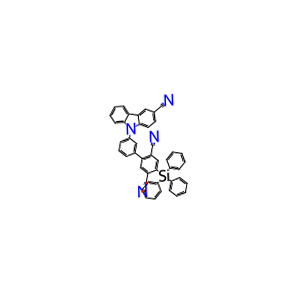 N#Cc1ccc2c(c1)c1ccccc1n2-c1cccc(-c2cc(C#N)c([Si](c3ccccc3)(c3ccccc3)c3ccccc3)cc2C#N)c1